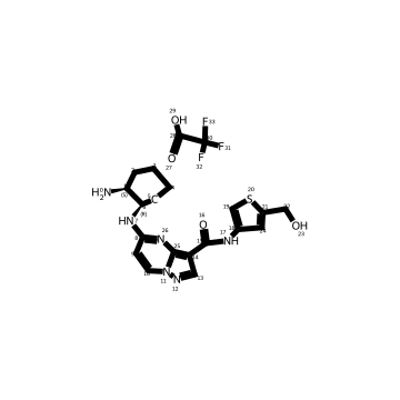 N[C@H]1CCCC[C@H]1Nc1ccn2ncc(C(=O)Nc3csc(CO)c3)c2n1.O=C(O)C(F)(F)F